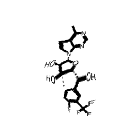 Cc1ncnc2c1ccn2[C@@H]1O[C@H](C(O)c2ccc(F)c(C(F)(F)F)c2)[C@@](C)(O)[C@H]1O